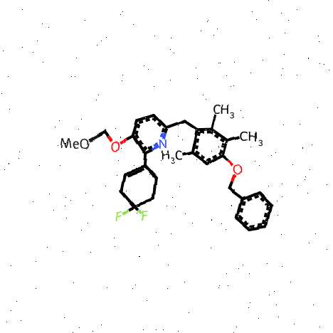 COCOc1ccc(Cc2c(C)cc(OCc3ccccc3)c(C)c2C)nc1C1=CCC(F)(F)CC1